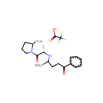 CCOC(=O)C(CCC(=O)c1ccccc1)N[C@@H](C)C(=O)N1CCC[C@H]1C(=O)O.O=C(O)C(F)(F)F